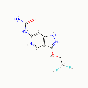 NC(=O)Nc1cc2[nH]nc(OCC(F)F)c2cn1